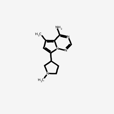 Cc1cc(C2CCN(C)C2)n2ncnc(N)c12